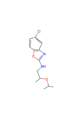 CC(C)OC(C)CNc1nc2cc(Cl)ccc2o1